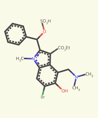 CCOC(=O)c1c(C(OS(=O)(=O)O)c2ccccc2)n(C)c2cc(Br)c(O)c(CN(C)C)c12